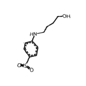 O=[SH](=O)c1c[c]c(NCCCCO)cc1